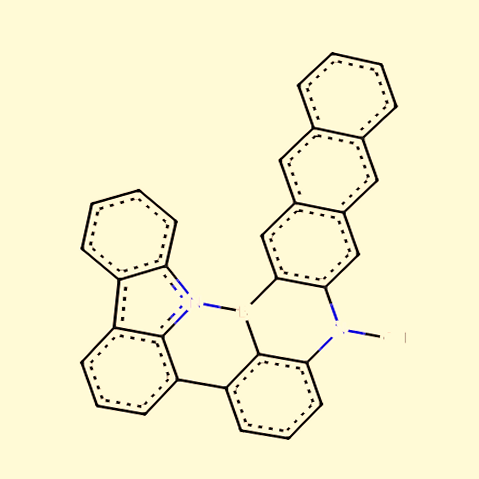 CN1c2cc3cc4ccccc4cc3cc2B2c3c(cccc31)-c1cccc3c4ccccc4n2c13